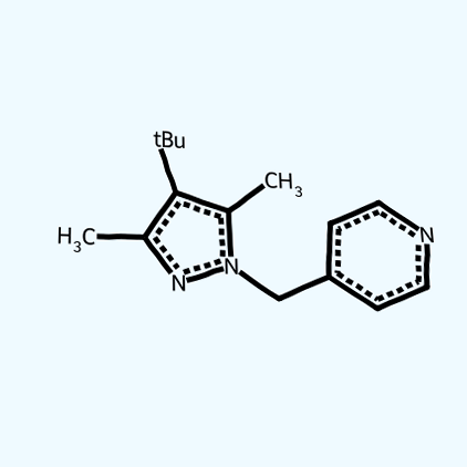 Cc1nn(Cc2ccncc2)c(C)c1C(C)(C)C